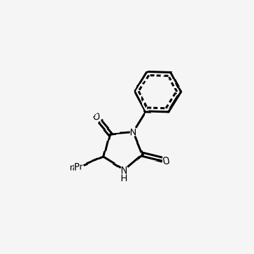 CCCC1NC(=O)N(c2ccccc2)C1=O